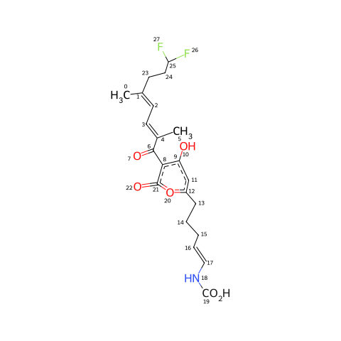 C/C(=C\C=C(/C)C(=O)c1c(O)cc(CCC/C=C/NC(=O)O)oc1=O)CCC(F)F